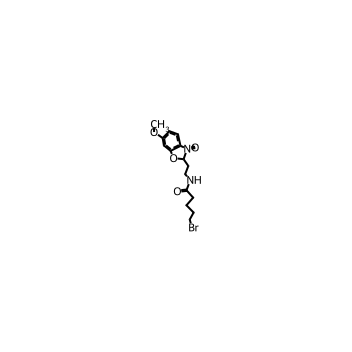 COc1ccc2c(c1)OC(CCNC(=O)CCCCBr)[N+]2=O